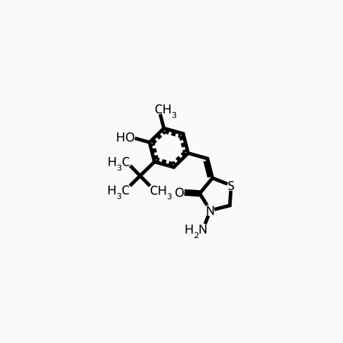 Cc1cc(C=C2SCN(N)C2=O)cc(C(C)(C)C)c1O